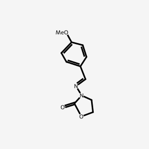 COc1ccc(C=NN2CCOC2=O)cc1